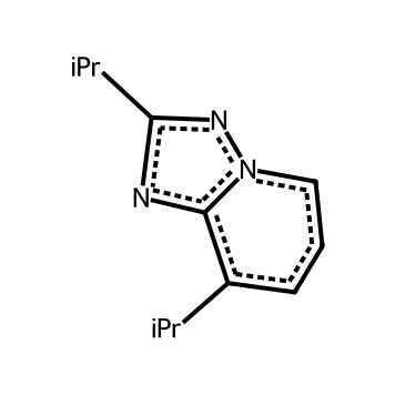 CC(C)c1nc2c(C(C)C)cccn2n1